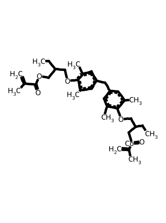 C=C(C)C(=O)OCC(CC)COc1c(C)cc(Cc2cc(C)c(OCC(CC)[CH2][Co](=[O])[C](=C)C)c(C)c2)cc1C